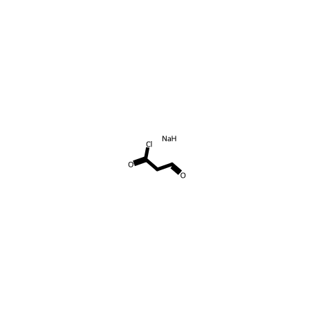 O=CCC(=O)Cl.[NaH]